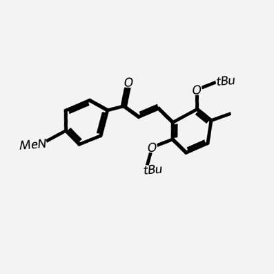 CNc1ccc(C(=O)C=Cc2c(OC(C)(C)C)ccc(C)c2OC(C)(C)C)cc1